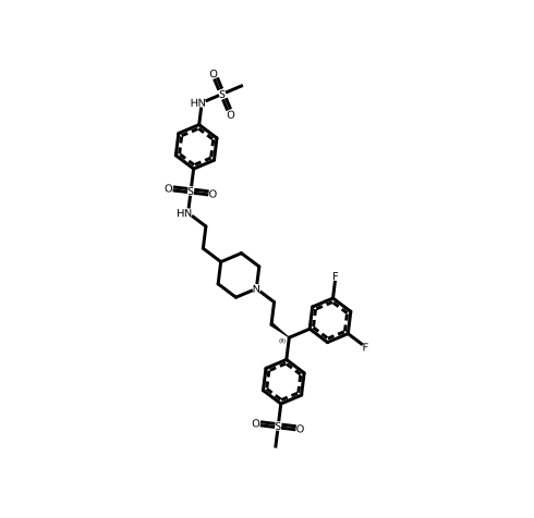 CS(=O)(=O)Nc1ccc(S(=O)(=O)NCCC2CCN(CC[C@H](c3ccc(S(C)(=O)=O)cc3)c3cc(F)cc(F)c3)CC2)cc1